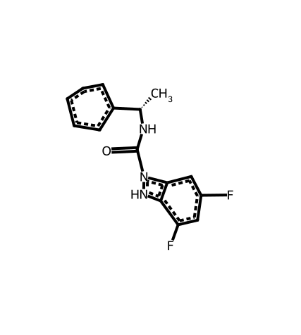 C[C@H](NC(=O)n1[nH]c2c(F)cc(F)cc21)c1ccccc1